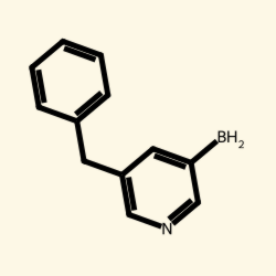 Bc1cncc(Cc2ccccc2)c1